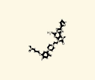 Cn1c(=O)n(CCN2CCN(c3cc(OCCC[S+](C)[O-])c(F)cc3F)CC2)c2nc(N)n3nc(-c4ccco4)nc3c21